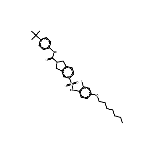 CCCCCCCOc1ccc(NS(=O)(=O)c2ccc3c(c2)CN(C(=O)Nc2ccc(C(C)(C)C)cc2)C3)c(F)c1